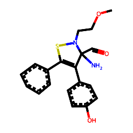 COCCN1SC(c2ccccc2)=C(c2ccc(O)cc2)C1(N)C=O